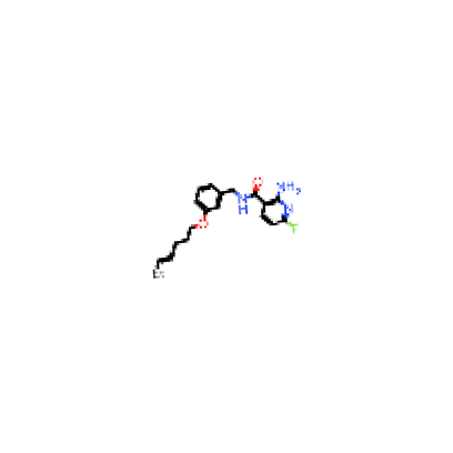 CCC=CCCCOc1cccc(CNC(=O)c2ccc(F)nc2N)c1